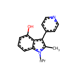 CCCn1c(C)c(-c2ccncc2)c2c(O)cccc21